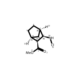 COC(=O)[C@H]1[C@H]2CC[C@H](C2)[C@H]1NCl